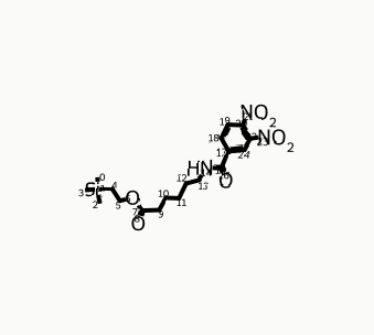 C[Si](C)(C)CCOC(=O)CCCCCNC(=O)c1ccc([N+](=O)[O-])c([N+](=O)[O-])c1